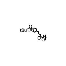 CC(C)(C)COC(=O)N1CCC(CCCC(=O)c2ncco2)CC1